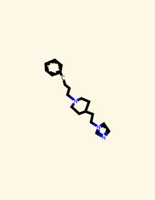 c1ccc(CCCCN2CCC(CCn3ccnc3)CC2)cc1